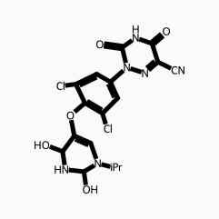 CC(C)N1C=C(Oc2c(Cl)cc(-n3nc(C#N)c(=O)[nH]c3=O)cc2Cl)C(O)NC1O